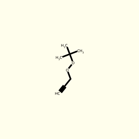 C#CCOOC(C)(C)C